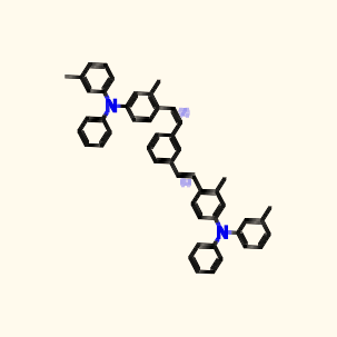 Cc1cccc(N(c2ccccc2)c2ccc(/C=C\c3cccc(/C=C/c4ccc(N(c5ccccc5)c5cccc(C)c5)cc4C)c3)c(C)c2)c1